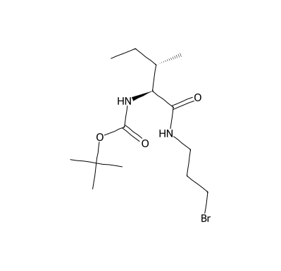 CC[C@H](C)[C@H](NC(=O)OC(C)(C)C)C(=O)NCCCBr